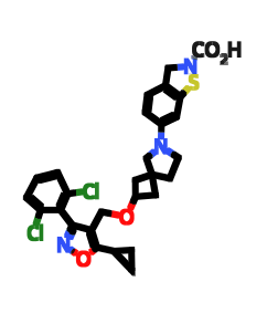 O=C(O)N1Cc2ccc(N3CCC4(CC(OCc5c(-c6c(Cl)cccc6Cl)noc5C5CC5)C4)C3)cc2S1